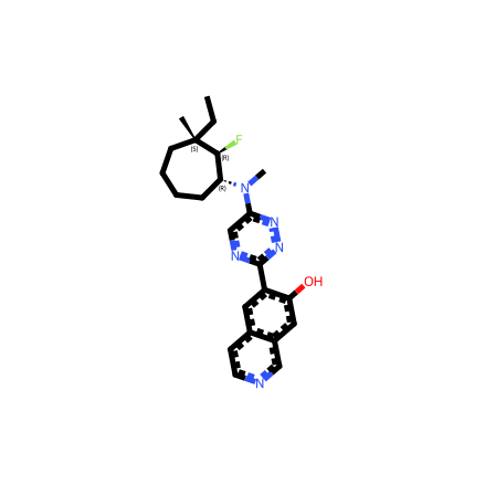 CC[C@@]1(C)CCCC[C@@H](N(C)c2cnc(-c3cc4ccncc4cc3O)nn2)[C@@H]1F